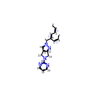 C\C=C/C=C(\C=C/C)Cn1cc2c(n1)CN(c1ncccn1)C2